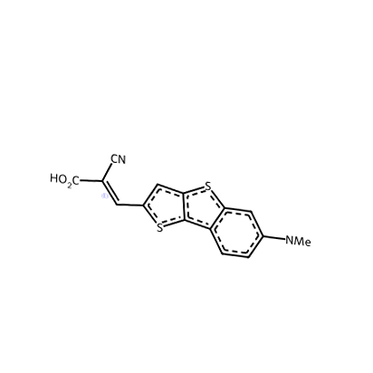 CNc1ccc2c(c1)sc1cc(/C=C(\C#N)C(=O)O)sc12